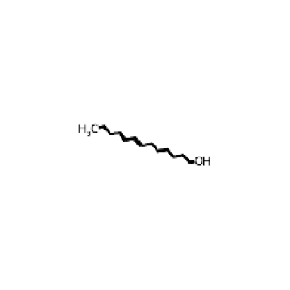 CCCC=CC=CCCCCCCO